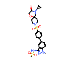 Cn1nc(NS(C)(=O)=O)c2cc(-c3ccc(S(=O)(=O)N4CCC5(CC4)CN(C4CC4)C(=O)CO5)cc3)ccc21